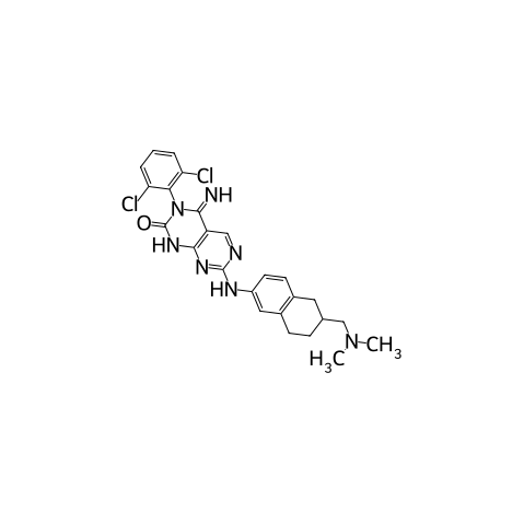 CN(C)CC1CCc2cc(Nc3ncc4c(=N)n(-c5c(Cl)cccc5Cl)c(=O)[nH]c4n3)ccc2C1